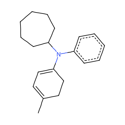 CC1=CC=C(N(c2ccccc2)C2CCCCCC2)CC1